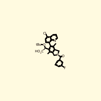 Cc1c2c(c(C)c([C@H](OC(C)(C)C)C(=O)O)c1-c1ccc(Cl)c3cccnc13)CN(C(=O)c1cccc(F)c1)C2